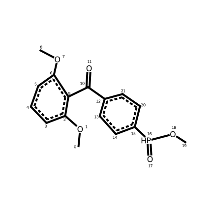 COc1cccc(OC)c1C(=O)c1ccc([PH](=O)OC)cc1